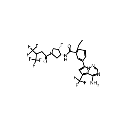 CCc1ccc(-c2cc(C(F)(F)F)c3c(N)ncnn23)cc1C(=O)N[C@@H]1CN(C(=O)CC(C(F)(F)F)C(F)(F)F)C[C@@H]1F